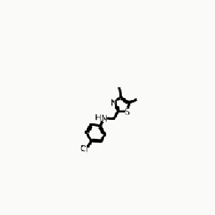 Cc1nc(CNc2ccc(Cl)cc2)sc1C